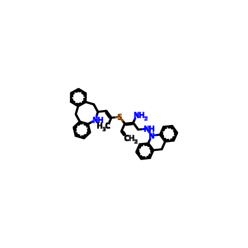 C=C/C(S/C(C)=C/C1Cc2ccccc2Cc2ccccc2N1)=C(/N)CNN1c2ccccc2Cc2ccccc21